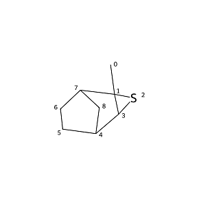 CC12SC1C1CCC2C1